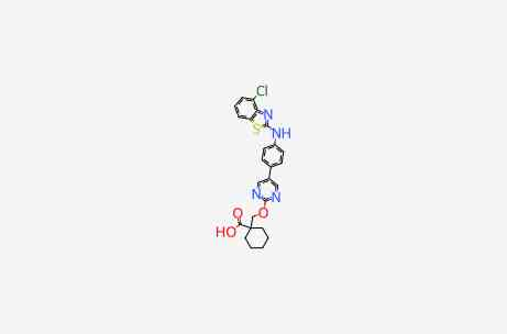 O=C(O)C1(COc2ncc(-c3ccc(Nc4nc5c(Cl)cccc5s4)cc3)cn2)CCCCC1